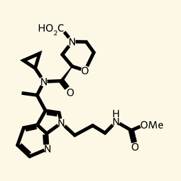 COC(=O)NCCCn1cc(C(C)N(C(=O)[C@H]2CN(C(=O)O)CCO2)C2CC2)c2cccnc21